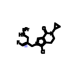 CCCNC/C(=C\F)Cn1cc2c(c1Cl)CCN(C1CC1)C2=O